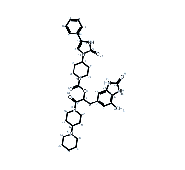 Cc1cc(CC(OC(=O)N2CCC(n3cc(-c4ccccc4)[nH]c3=O)CC2)C(=O)N2CCC(N3CCCCC3)CC2)cc2[nH]c(=O)[nH]c12